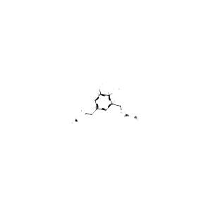 O=C=NCc1cc(Cl)c(Cl)c(CN=C=O)c1